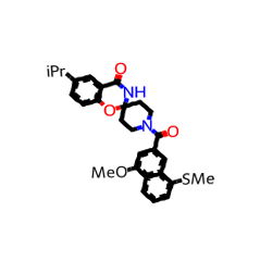 COc1cc(C(=O)N2CCC3(CC2)NC(=O)c2cc(C(C)C)ccc2O3)cc2c(SC)cccc12